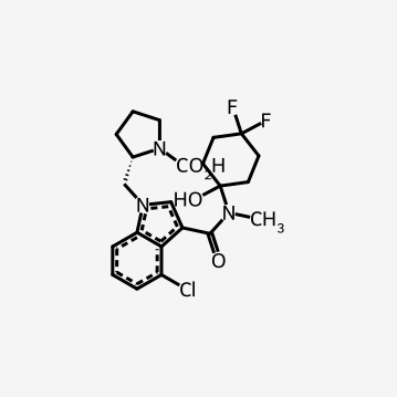 CN(C(=O)c1cn(C[C@@H]2CCCN2C(=O)O)c2cccc(Cl)c12)C1(O)CCC(F)(F)CC1